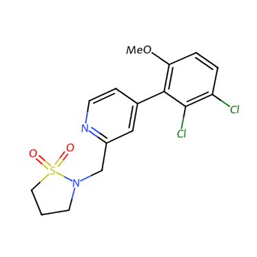 COc1ccc(Cl)c(Cl)c1-c1ccnc(CN2CCCS2(=O)=O)c1